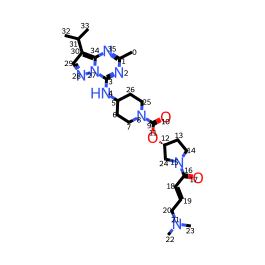 Cc1nc(NC2CCN(C(=O)O[C@@H]3CCN(C(=O)/C=C/CN(C)C)C3)CC2)n2ncc(C(C)C)c2n1